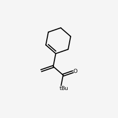 C=C(C(=O)C(C)(C)C)C1=CCCCC1